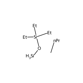 CCCC.CC[Si](CC)(CC)O[SiH3]